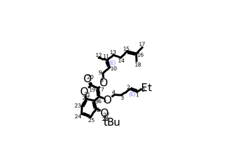 CC/C=C/CCOc1c(OC/C=C(\C)CCC=C(C)C)c(=O)oc2cccc(OC(C)(C)C)c12